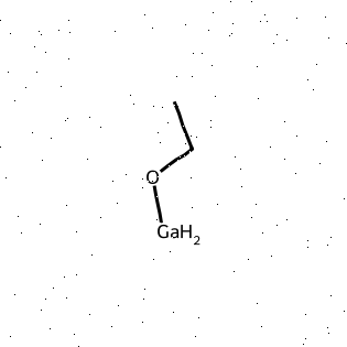 CC[O][GaH2]